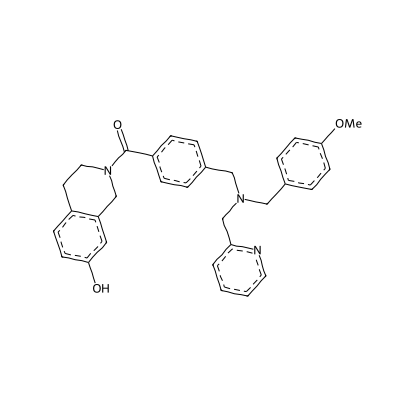 COc1ccc(CN(Cc2ccc(C(=O)N3CCc4ccc(O)cc4C3)cc2)Cc2ccccn2)cc1